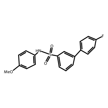 COc1ccc(NS(=O)(=O)c2cccc(-c3ccc(F)cc3)c2)cc1